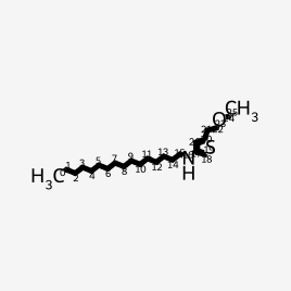 CCCCCCCCCCCCCCCCNc1csc(CCOCC)c1